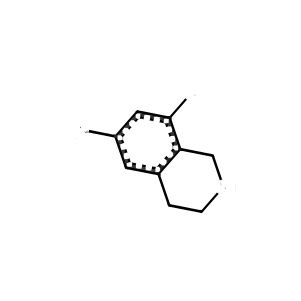 O=[N+]([O-])c1cc(Br)c2c(c1)CCNC2